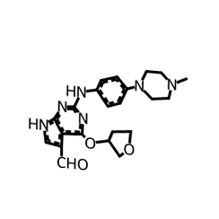 CN1CCN(c2ccc(Nc3nc(OC4CCOC4)c4c(C=O)c[nH]c4n3)cc2)CC1